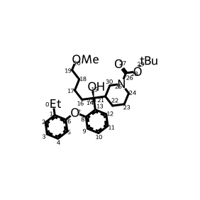 CCc1ccccc1Oc1ccccc1[C@](O)(CCCCOC)C1CCCN(C(=O)OC(C)(C)C)C1